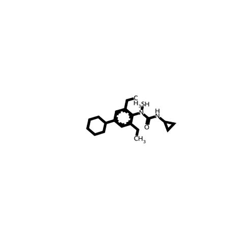 CCc1cc(C2CCCCC2)cc(CC)c1N(S)C(=O)NC1CC1